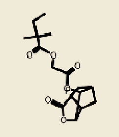 CCC(C)(C)C(=O)OCC(=O)OC1C2CC3C1OC(=O)C3(F)C2